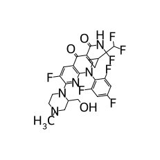 CN1CCN(c2nc3c(cc2F)c(=O)c(C(=O)NC(F)(C(F)F)C2CC2)cn3-c2c(F)cc(F)cc2F)C(CO)C1